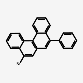 Brc1cc2cc(-c3ccccc3)c3ccccc3c2c2ccccc12